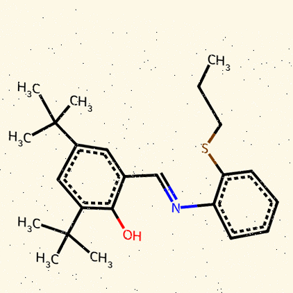 CCCSc1ccccc1N=Cc1cc(C(C)(C)C)cc(C(C)(C)C)c1O